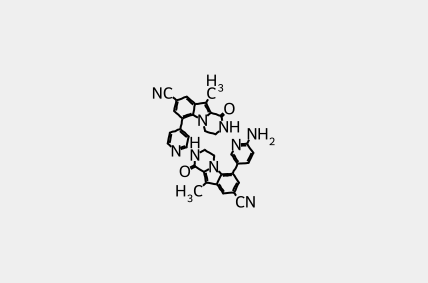 Cc1c2n(c3c(-c4ccc(N)nc4)cc(C#N)cc13)CCNC2=O.Cc1c2n(c3c(-c4ccncc4)cc(C#N)cc13)CCNC2=O